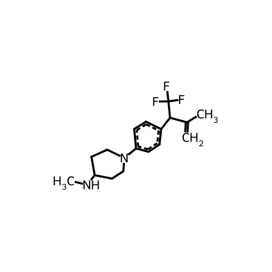 C=C(C)C(c1ccc(N2CCC(NC)CC2)cc1)C(F)(F)F